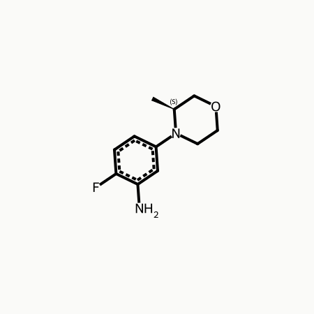 C[C@H]1COCCN1c1ccc(F)c(N)c1